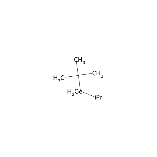 C[CH](C)[GeH2][C](C)(C)C